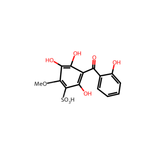 COc1c(O)c(O)c(C(=O)c2ccccc2O)c(O)c1S(=O)(=O)O